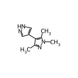 Cc1nn(C)c(C)c1-c1cn[nH]c1